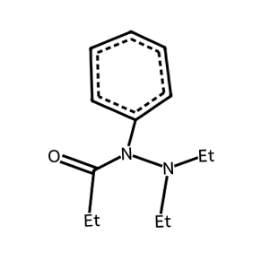 CCC(=O)N(c1ccccc1)N(CC)CC